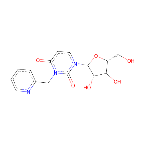 O=c1ccn([C@@H]2O[C@H](CO)C(O)[C@@H]2O)c(=O)n1Cc1ccccn1